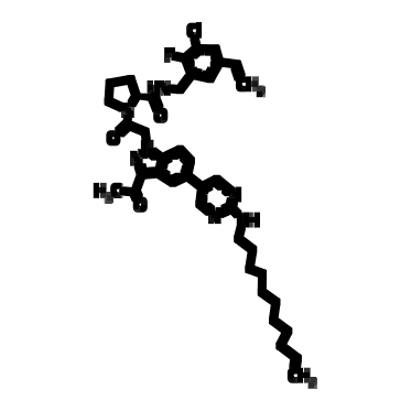 C=CCCCCCCCCCNc1ncc(-c2ccc3c(c2)c(C(C)=O)nn3CC(=O)N2CCC[C@H]2C(=O)NCc2cc(C=C)cc(Cl)c2F)cn1